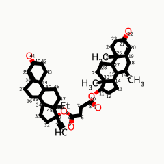 C#CC1(OC(=O)CCC(=O)OC2CCC3C4C(C)CC5=CC(=O)CCC5(C)C4CCC23C)CCC2C3CCC4=CC(=O)CCC4C3CCC21CC